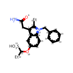 CCc1c(CC(N)=O)c2cc(OC(CC)S(=O)(=O)O)ccc2n1Cc1ccccc1